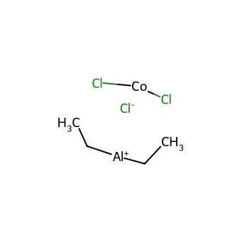 C[CH2][Al+][CH2]C.[Cl-].[Cl][Co][Cl]